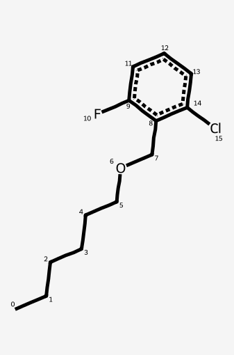 CCCCCCOCc1c(F)cccc1Cl